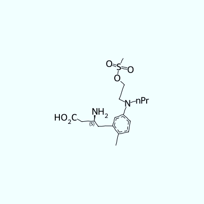 CCCN(CCOS(C)(=O)=O)c1ccc(C)c(C[C@H](N)CC(=O)O)c1